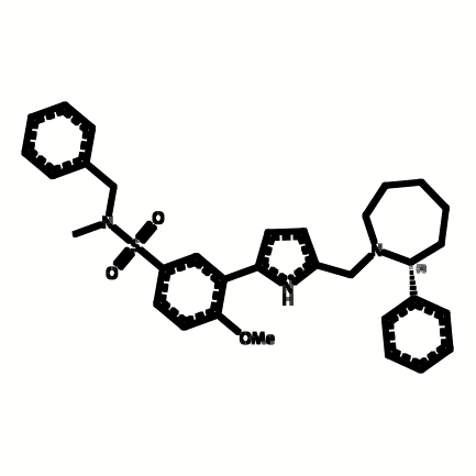 COc1ccc(S(=O)(=O)N(C)Cc2ccccc2)cc1-c1ccc(CN2CCCCC[C@@H]2c2ccccc2)[nH]1